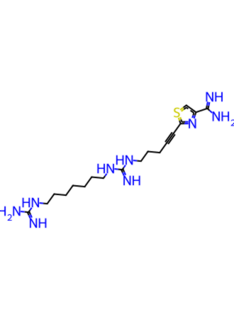 N=C(N)NCCCCCCCNC(=N)NCCCC#Cc1nc(C(=N)N)cs1